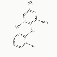 O=[N+]([O-])c1cc([N+](=O)[O-])c(Nc2ccccc2Cl)c(C(F)(F)F)c1